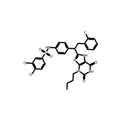 CCCCn1c(=O)[nH]c(=O)c2[nH]c(C(Cc3ccccc3F)c3ccc(NS(=O)(=O)c4ccc(Cl)c(Cl)c4)cc3)nc21